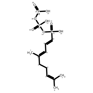 CC(C)=CCCC(C)=CC=CP(=O)(O)OP(=O)(O)O[PH](=O)O